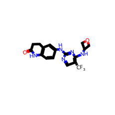 O=C1CCc2cc(Nc3ncc(C(F)(F)F)c(NC4COC4)n3)ccc2N1